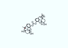 CN1CC[C@]23c4c5ccc(OC(=O)Oc6ccc7c8c6O[C@@H]6C8[C@@](O)(CC[C@@H]6O)[C@H](N(C)C)C7)c4O[C@H]2[C@@H](O)CC[C@@]3(O)C1C5